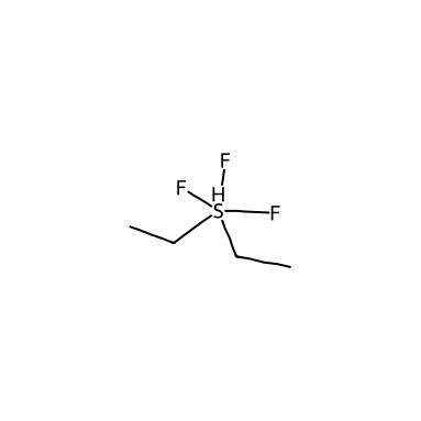 CC[SH](F)(F)(F)CC